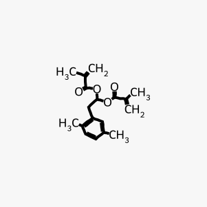 C=C(C)C(=O)OC(Cc1cc(C)ccc1C)OC(=O)C(=C)C